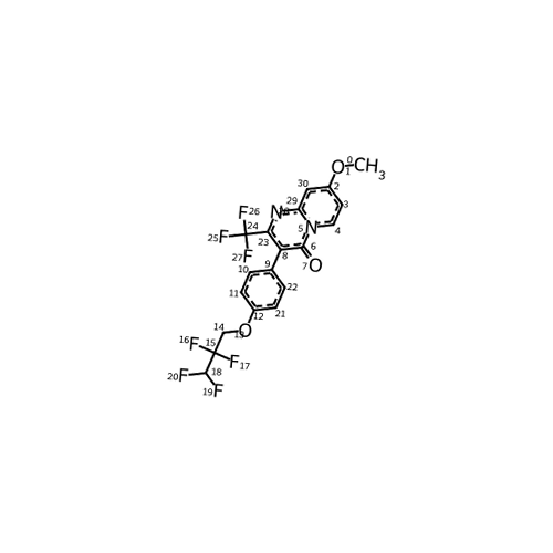 COc1ccn2c(=O)c(-c3ccc(OCC(F)(F)C(F)F)cc3)c(C(F)(F)F)nc2c1